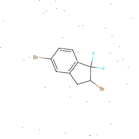 FC1(F)c2ccc(Br)cc2CC1Br